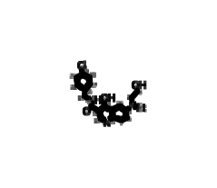 CCN(CCO)c1ccc2ncc(C(=O)NCc3ccc(Cl)cc3)c(O)c2c1